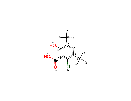 CC(C)(C)c1cc(C(C)(C)C)c(Cl)c(C(=O)O)c1O